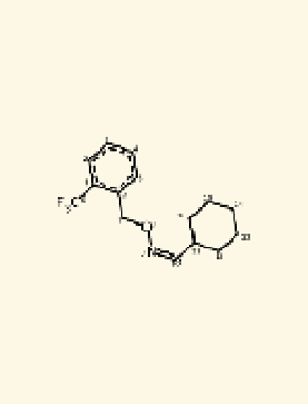 FC(F)(F)c1ccccc1CO/N=[C]\C1CCCCC1